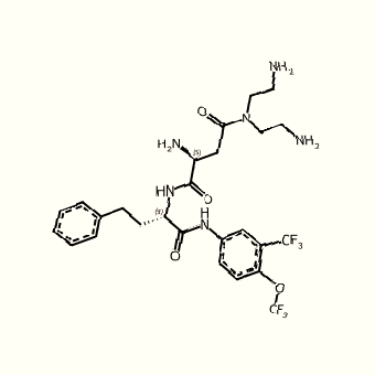 NCCN(CCN)C(=O)C[C@H](N)C(=O)N[C@@H](CCc1ccccc1)C(=O)Nc1ccc(OC(F)(F)F)c(C(F)(F)F)c1